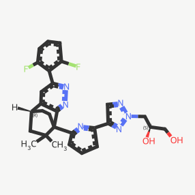 CC1(C)C[C@H]2CCC1(c1cccc(-c3cnn(C[C@H](O)CO)n3)n1)c1nnc(-c3c(F)cccc3F)cc12